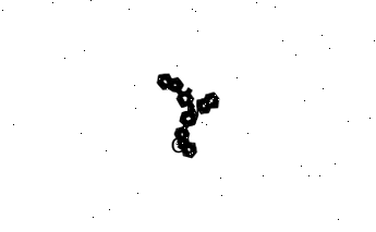 CC1C=C(N(c2ccc(-c3ccc4oc5ccccc5c4c3)cc2)c2ccc3ccccc3c2)C=CC1c1ccc2ccccc2c1